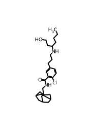 CCCCC(CCO)NCCCc1ccc(Cl)c(C(=O)NCC23CC4CC(CC(C4)C2)C3)c1